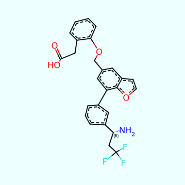 N[C@H](CC(F)(F)F)c1cccc(-c2cc(COc3ccccc3CC(=O)O)cc3ccoc23)c1